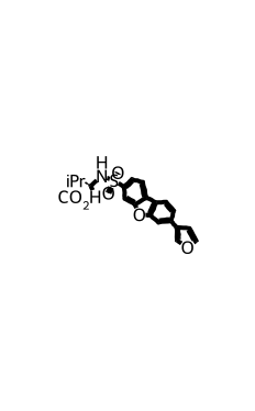 CC(C)[C@H](NS(=O)(=O)c1ccc2c(c1)oc1cc(-c3ccoc3)ccc12)C(=O)O